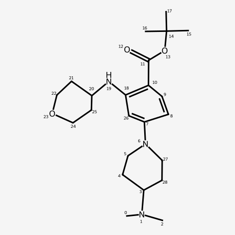 CN(C)C1CCN(c2ccc(C(=O)OC(C)(C)C)c(NC3CCOCC3)c2)CC1